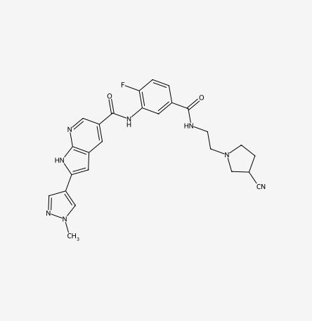 Cn1cc(-c2cc3cc(C(=O)Nc4cc(C(=O)NCCN5CCC(C#N)C5)ccc4F)cnc3[nH]2)cn1